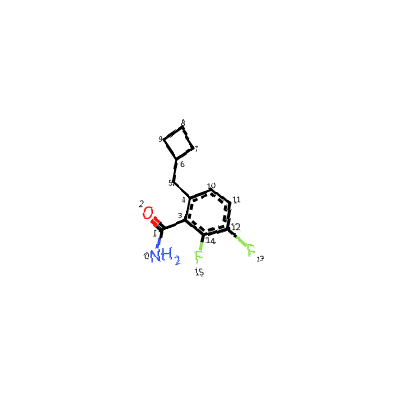 NC(=O)c1c([CH]C2CCC2)ccc(F)c1F